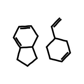 C1=CCC2CCCC2=C1.C=CC1CC=CCC1